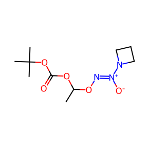 CC(ON=[N+]([O-])N1CCC1)OC(=O)OC(C)(C)C